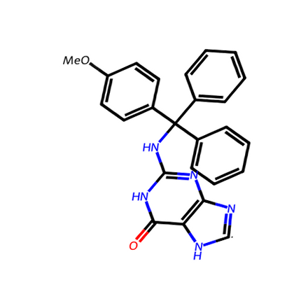 COc1ccc(C(Nc2nc3n[c][nH]c3c(=O)[nH]2)(c2ccccc2)c2ccccc2)cc1